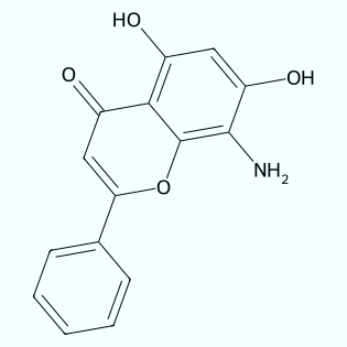 Nc1c(O)cc(O)c2c(=O)cc(-c3ccccc3)oc12